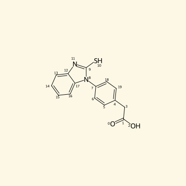 O=C(O)Cc1ccc(-n2c(S)nc3ccccc32)cc1